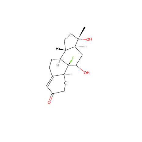 C[C@]1(O)CC[C@H]2[C@@H]3CCC4=CC(=O)CC[C@]4(C)[C@@]3(F)C(O)C[C@@]21C